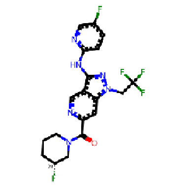 O=C(c1cc2c(cn1)c(Nc1ccc(F)cn1)nn2CC(F)(F)F)N1CCC[C@@H](F)C1